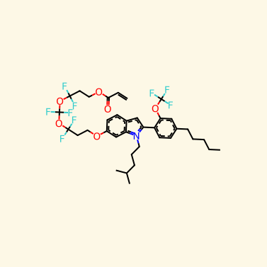 C=CC(=O)OCCC(F)(F)OC(F)(F)OC(F)(F)CCOc1ccc2cc(-c3ccc(CCCCC)cc3OC(F)(F)F)n(CCCC(C)C)c2c1